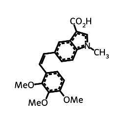 COc1ccc(/C=C\c2ccc3c(c2)c(C(=O)O)cn3C)c(OC)c1OC